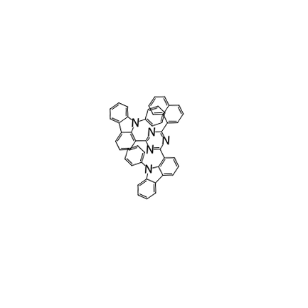 c1ccc(-n2c3ccccc3c3cccc(-c4nc(-c5cccc6ccccc56)nc(-c5cccc6c7ccccc7n(-c7ccccc7)c56)n4)c32)cc1